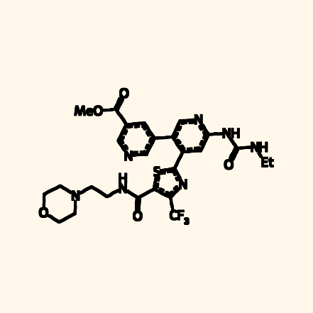 CCNC(=O)Nc1cc(-c2nc(C(F)(F)F)c(C(=O)NCCN3CCOCC3)s2)c(-c2cncc(C(=O)OC)c2)cn1